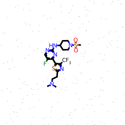 CN(C)CCc1nc(C(F)(F)F)c(-c2nc(NC3CCN(S(C)(=O)=O)CC3)ncc2F)s1